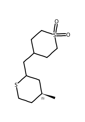 C[C@H]1CCSC(CC2CCS(=O)(=O)CC2)C1